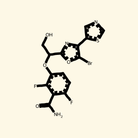 NC(=O)c1c(F)ccc(OC(CO)c2nc(-c3cncs3)c(Br)o2)c1F